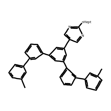 CCCCCCCc1ncc(-c2cc(-c3cccc(-c4cccc(C)c4)c3)cc(-c3cccc(-c4cccc(C)c4)c3)c2)cn1